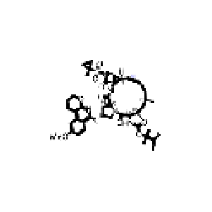 COc1ccc2c(O[C@@H]3C[C@H]4C(=O)N[C@]5(C(=O)NS(=O)(=O)C6(C)CC6)C[C@H]5/C=C\CC[C@@H](C)C[C@@H](C)[C@H](NC(=O)OC(C)(C)C(F)F)C(=O)N4C3)nc3c(c2c1)CCCO3